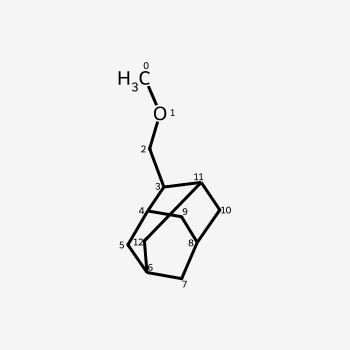 COCC1C2CC3CC(C2)CC1C3